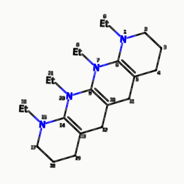 CCN1CCCC2=C1N(CC)C1=C(C2)CC2=C(N(CC)CCC2)N1CC